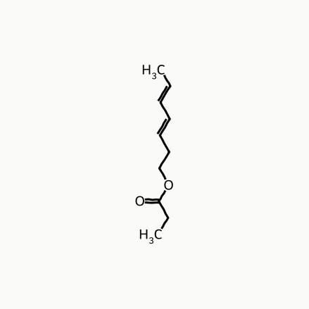 CC=CC=CCCOC(=O)CC